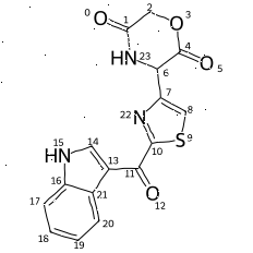 O=C1COC(=O)C(c2csc(C(=O)c3c[nH]c4ccccc34)n2)N1